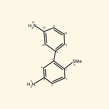 CSc1ccc(N)cc1-c1cccc(N)c1